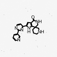 O=C1NCC2(CCCNC2)c2[nH]c(-c3ccnc(-c4cccnc4)n3)cc21